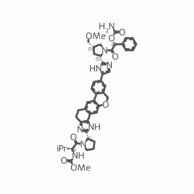 COC[C@H]1C[C@@H](c2ncc(-c3ccc4c(c3)COc3cc5c(cc3-4)CCc3nc([C@@H]4CCCN4C(=O)[C@@H](NC(=O)OC)C(C)C)[nH]c3-5)[nH]2)N(C(=O)[C@H](OC(N)=O)c2ccccc2)C1